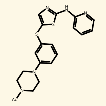 CC(=O)N1CCN(c2cccc(Sc3cnc(Nc4ccccn4)s3)c2)CC1